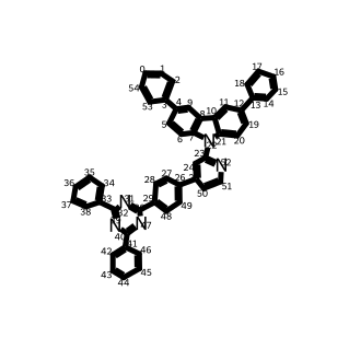 c1ccc(-c2ccc3c(c2)c2cc(-c4ccccc4)ccc2n3-c2cc(-c3ccc(-c4nc(-c5ccccc5)nc(-c5ccccc5)n4)cc3)ccn2)cc1